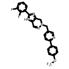 Fc1cccc(-c2nc3c([nH]2)C=NN(Cc2ccc(-c4ccc(OC(F)(F)F)cc4)nc2)C3)c1F